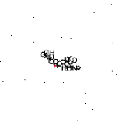 CC(C)C1=C2[C@H]3CCC4[C@@]5(C)CC[C@H](OC(=O)CC(C)(C)C(=O)O)C(C)(C)[C@H]5CC[C@@]4(C)[C@]3(C)CC[C@@]2([C@H](O)CNC2CCC2)CC1=O